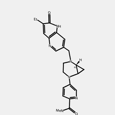 CCc1cc2ncc(CN3CCN(c4ccc(C(=O)NC)nc4)C4C[C@H]43)cc2[nH]c1=O